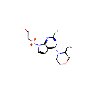 CC1COCCN1c1nc(Cl)nc2c1ccn2S(=O)(=O)CCO